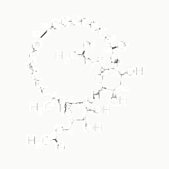 CC(=O)OCC1O[C@H]2OC(C)CCCCCC/C=C\CCCCCCCC(=O)O[C@H]3C(O)CC(O)[C@H](OC2C(O)[C@@H]1O)OC3COC(C)=O